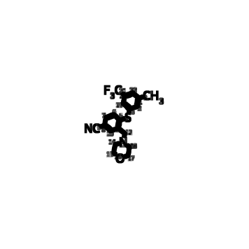 Cc1cc(Sc2ccc(C#N)cc2CN2CCOCC2)cc(C(F)(F)F)c1